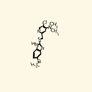 COc1ccc2[nH]c(SCc3cc(N(C)C)c(Cl)cn3)nc2c1